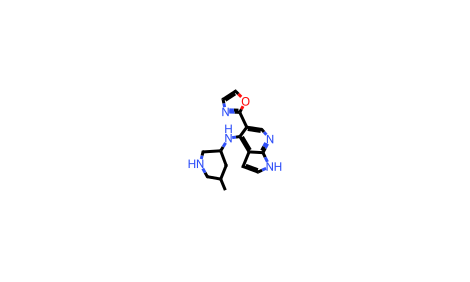 CC1CNCC(Nc2c(-c3ncco3)cnc3[nH]ccc23)C1